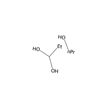 CCC(O)O.CCCO